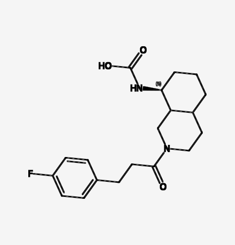 O=C(O)N[C@H]1CCCC2CCN(C(=O)CCc3ccc(F)cc3)CC21